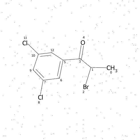 CC(Br)C(=O)c1cc(Cl)cc(Cl)c1